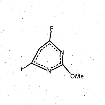 COc1nc(F)cc(F)n1